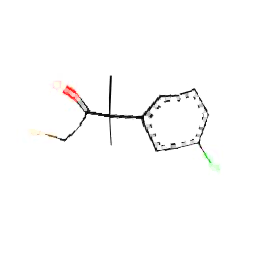 CC(C)(C(=O)CBr)c1cccc(Cl)c1